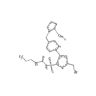 Cc1nccn1Cc1ccc(-c2cc(CC(C)C)sc2S(=O)(=O)NC(=O)NCCC(F)(F)F)nc1